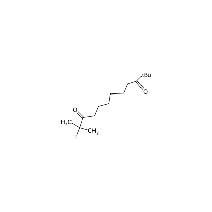 CC(C)(C)C(=O)CCCCCCC(=O)C(C)(C)I